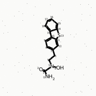 NC(=O)N(O)CCc1ccc2c(c1)sc1ccccc12